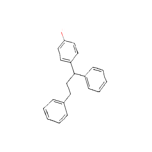 Oc1ccc(C(CCc2ccccc2)c2ccccc2)cc1